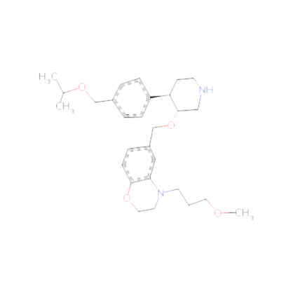 COCCCN1CCOc2ccc(CO[C@H]3CNCC[C@@H]3c3ccc(COC(C)C)cc3)cc21